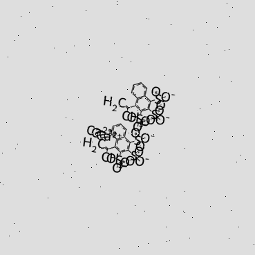 C=C(C)c1c(S(=O)(=O)[O-])c(S(=O)(=O)[O-])c(S(=O)(=O)[O-])c2ccccc12.C=C(C)c1c(S(=O)(=O)[O-])c(S(=O)(=O)[O-])c(S(=O)(=O)[O-])c2ccccc12.[Ca+2].[Ca+2].[Ca+2]